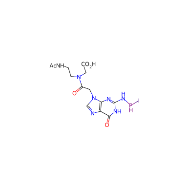 CC(=O)NCCN(CC(=O)O)C(=O)Cn1cnc2c(=O)[nH]c(NPI)nc21